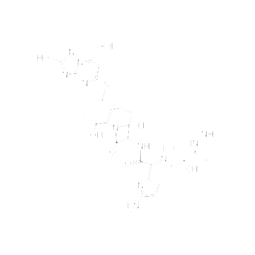 Cc1nc2nc(SCC3=C(C(=O)O)N4C(=O)C(NC(=O)C(=NOC(C)(C)C(=O)NN)c5csc(N)n5)[C@@H]4SC3)cc(CO)n2n1